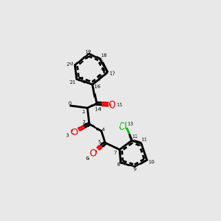 CC(C(=O)CC(=O)c1ccccc1Cl)C(=O)c1ccccc1